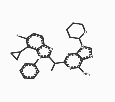 CC(c1nc(N)c2ncn(C3CCCCO3)c2n1)c1nc2ccc(F)c(C3CC3)c2n1-c1ccccc1